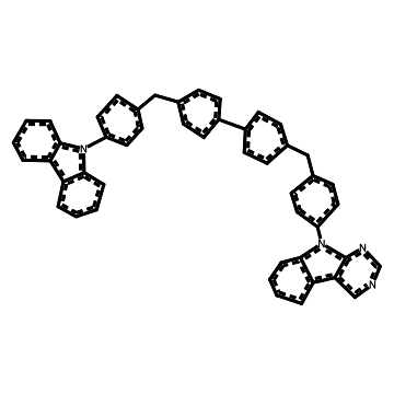 c1ccc2c(c1)c1ccccc1n2-c1ccc(Cc2ccc(-c3ccc(Cc4ccc(-n5c6ccccc6c6cncnc65)cc4)cc3)cc2)cc1